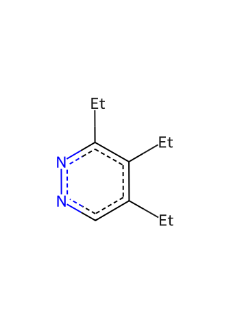 CCc1cnnc(CC)c1CC